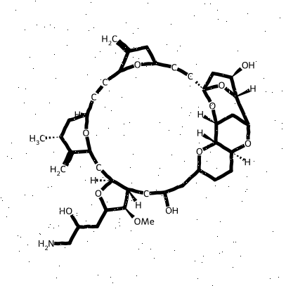 C=C1CC2CC[C@]34C[C@@H](O)[C@@H](O3)C3C[C@@H](O4)[C@H]4OC(CC[C@@H]4O3)CC(O)C[C@H]3[C@H](CC4O[C@@H](CCC1O2)C[C@@H](C)C4=C)OC(CC(O)CN)[C@@H]3OC